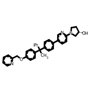 CC(C)C(C)(c1ccc(OCc2ccccn2)cc1)c1ccc(-c2ccc(N3CC[C@H](O)C3)nc2)cc1